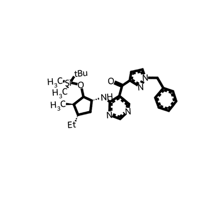 CC[C@H]1C[C@@H](Nc2ncncc2C(=O)c2ccn(Cc3ccccc3)n2)C(O[Si](C)(C)C(C)(C)C)[C@@H]1C